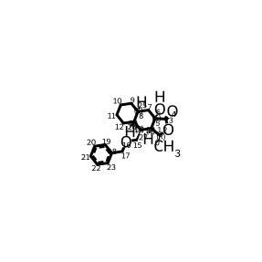 C[C@H]1OC(=O)[C@]2(O)C[C@@H]3CCCC[C@H]3[C@H](COCc3ccccc3)[C@H]12